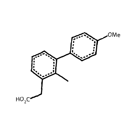 COc1ccc(-c2cccc(CC(=O)O)c2C)cc1